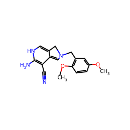 COc1ccc(OC)c(CN2C=C3C(=CNC(N)=C3C#N)C2)c1